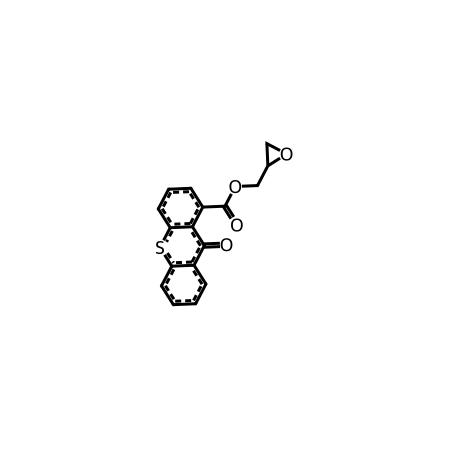 O=C(OCC1CO1)c1cccc2sc3ccccc3c(=O)c12